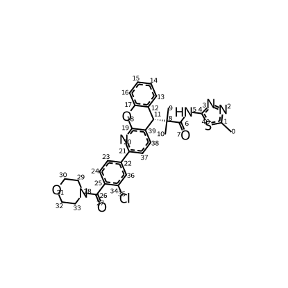 Cc1nnc(NC(=O)C(C)(C)[C@H]2c3ccccc3Oc3nc(-c4ccc(C(=O)N5CCOCC5)c(Cl)c4)ccc32)s1